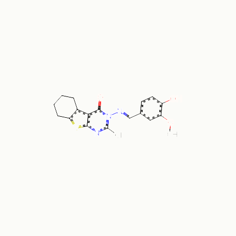 COc1cc(C=Nn2c(C)nc3sc4c(c3c2=O)CCCC4)ccc1O